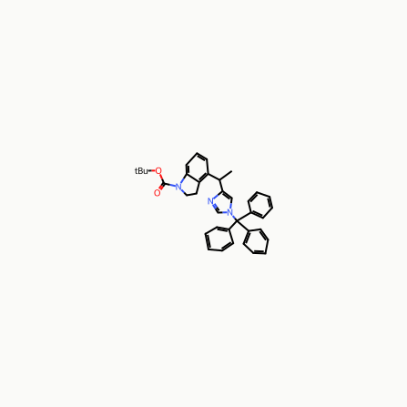 CC(c1cn(C(c2ccccc2)(c2ccccc2)c2ccccc2)cn1)c1cccc2c1CCN2C(=O)OC(C)(C)C